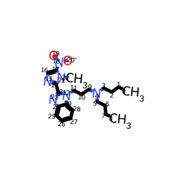 CCCCN(CCCC)CCCn1c(-c2ncc([N+](=O)[O-])n2C)nc2ccccc21